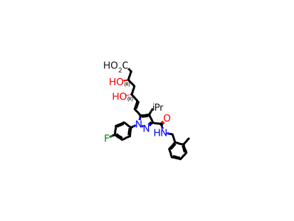 Cc1ccccc1CNC(=O)c1nn(-c2ccc(F)cc2)c(C=C[C@H](O)C[C@@H](O)CC(=O)O)c1C(C)C